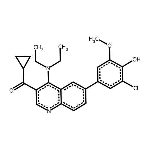 CCN(CC)c1c(C(=O)C2CC2)cnc2ccc(-c3cc(Cl)c(O)c(OC)c3)cc12